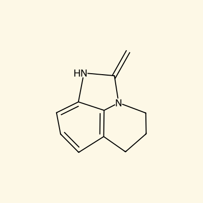 C=C1Nc2cccc3c2N1CCC3